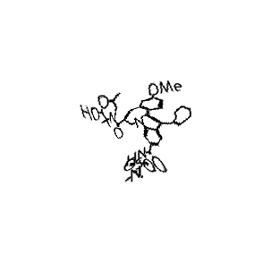 COc1ccc2c(c1)C=C(C(=O)N1CC(C)OC(O)C1(C)C)Cn1c-2c(C2CCCCC2)c2ccc(C(=O)NS(=O)(=O)N(C)C)cc21